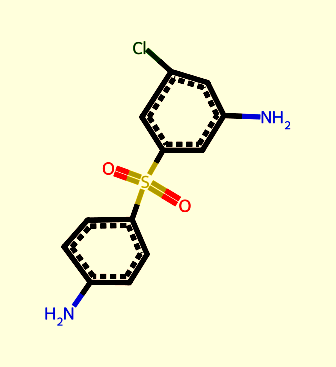 Nc1ccc(S(=O)(=O)c2cc(N)cc(Cl)c2)cc1